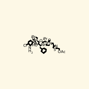 CC(=O)OCc1nc(CN2CCN([C@H](C(=O)N[C@@H](Cc3ccccc3)[C@@H](O)CN(CC(C)C)S(=O)(=O)c3ccc(Cl)c(N)c3)C(C)C)C2=O)cs1